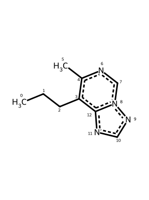 CCCc1c(C)ncn2ncnc12